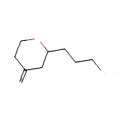 C=C1CCOC(CCCCCCCCC)C1